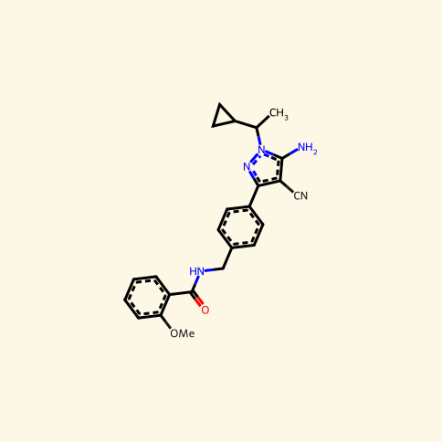 COc1ccccc1C(=O)NCc1ccc(-c2nn(C(C)C3CC3)c(N)c2C#N)cc1